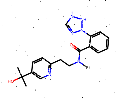 CCN(CCc1ccc(C(C)(C)O)cn1)C(=O)c1ccccc1N1N=CNN1